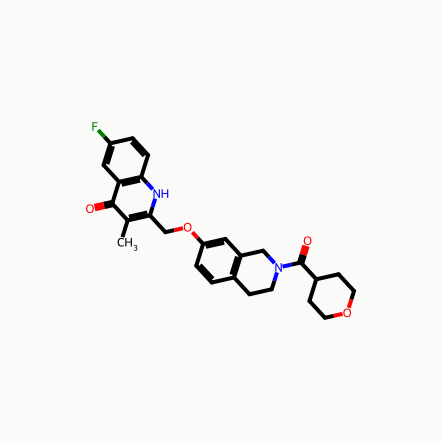 Cc1c(COc2ccc3c(c2)CN(C(=O)C2CCOCC2)CC3)[nH]c2ccc(F)cc2c1=O